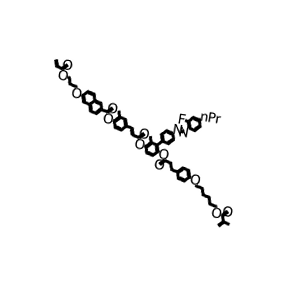 C=CC(=O)OCCCOc1ccc2cc(C(=O)Oc3ccc(/C=C/C(=O)Oc4ccc(OC(=O)CCc5ccc(OCCCCCCOC(=O)C(=C)C)cc5)c(-c5ccc(/N=N/c6ccc(CCC)cc6F)cc5)c4C)cc3C)ccc2c1